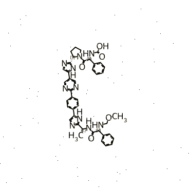 COCN[C@@H](C(=O)N[C@@H](C)c1ncc(-c2ccc(-c3ncc(-c4cnc([C@@H]5CCCN5C(=O)[C@H](NC(=O)O)c5ccccc5)[nH]4)cn3)cc2)[nH]1)c1ccccc1